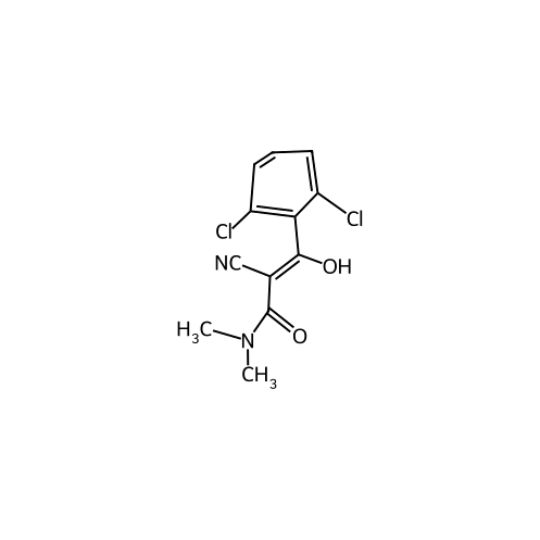 CN(C)C(=O)C(C#N)=C(O)c1c(Cl)cccc1Cl